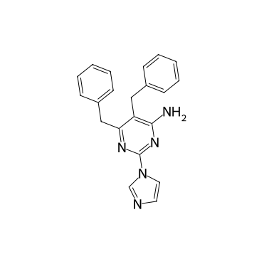 Nc1nc(-n2ccnc2)nc(Cc2ccccc2)c1Cc1ccccc1